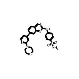 NS(=O)(=O)c1ccc(Nc2ncc3ccc(-c4ccnc(N5CCOCC5)c4)cc3n2)cc1